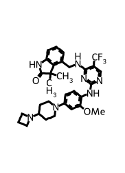 COc1cc(N2CCC(N3CCC3)CC2)ccc1Nc1ncc(C(F)(F)F)c(NCc2cccc3c2C(C)(C)C(=O)N3)n1